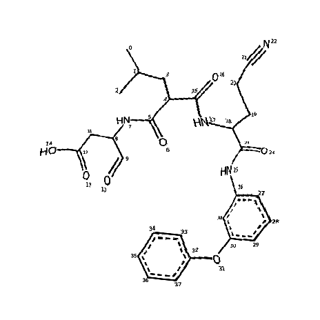 CC(C)CC(C(=O)NC(C=O)CC(=O)O)C(=O)NC(CCC#N)C(=O)Nc1cccc(Oc2ccccc2)c1